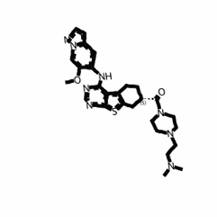 COc1cn2nccc2cc1Nc1ncnc2sc3c(c12)CC[C@H](C(=O)N1CCN(CCN(C)C)CC1)C3